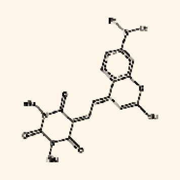 CCCCN1C(=O)C(=C/C=C2\C=C(C(C)(C)C)Oc3cc(N(CC)CC)ccc32)C(=O)N(CCCC)C1=O